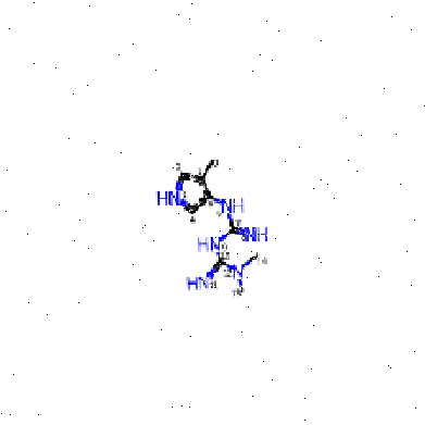 Cc1c[nH]cc1NC(=N)NC(=N)N(C)C